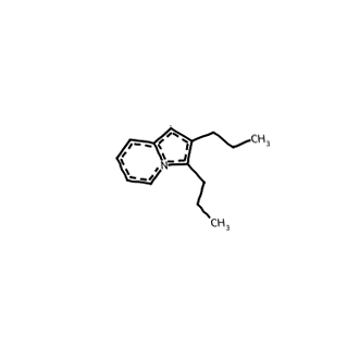 CCCc1[c]c2ccccn2c1CCC